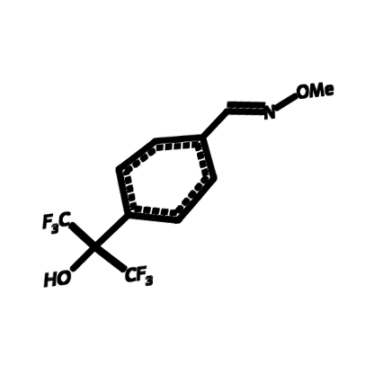 CO/N=C/c1ccc(C(O)(C(F)(F)F)C(F)(F)F)cc1